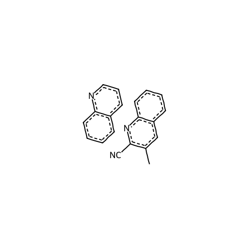 Cc1cc2ccccc2nc1C#N.c1ccc2ncccc2c1